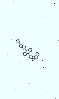 c1ccc(-c2ccc3cc(-c4c5ccccc5c(-c5ccc6oc7ccc8ccccc8c7c6c5)c5ccccc45)ccc3c2)cc1